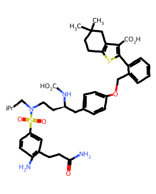 CC(C)CN(CC[C@H](Cc1ccc(OCc2ccccc2-c2sc3c(c2C(=O)O)CC(C)(C)CC3)cc1)NC(=O)O)S(=O)(=O)c1ccc(N)c(CCC(N)=O)c1